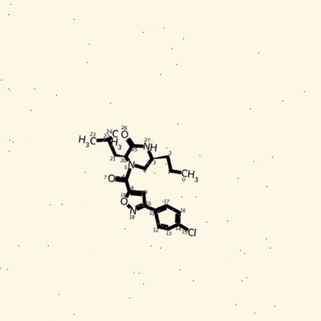 CCC[C@H]1CN(C(=O)c2cc(-c3ccc(Cl)cc3)no2)[C@@H](CC(C)C)C(=O)N1